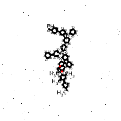 C=Cc1ccc(-c2cc(C)c(OC(C)CCCCC3(C4=CCCCC4)c4cc(N(C5=CCC(C6=CCCC=C6)C=C5)c5ccc(C6CCC7C(C6)c6cc(C8=CCC(C=C)C=C8)ccc6N7c6ccccc6)cc5)ccc4C4C=CC=CC43)cc2C)cc1